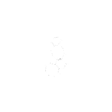 c1cnc2c(c1)CCc1c(ncc3c1CCCCCC3)CC2